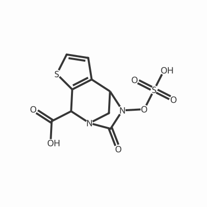 O=C(O)C1c2sccc2C2CN1C(=O)N2OS(=O)(=O)O